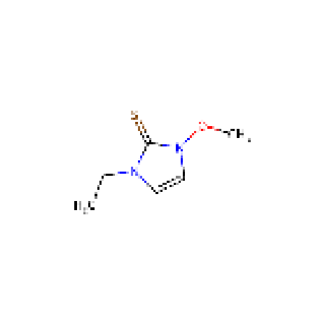 CCn1ccn(OC)c1=S